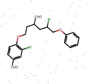 O=Cc1ccc(OCCC(C=O)CC(Br)COc2ccccc2)c(Br)c1